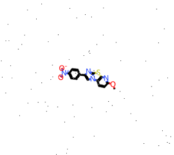 COc1ccc2c(n1)sc1nc(-c3ccc([N+](=O)[O-])cc3)cn12